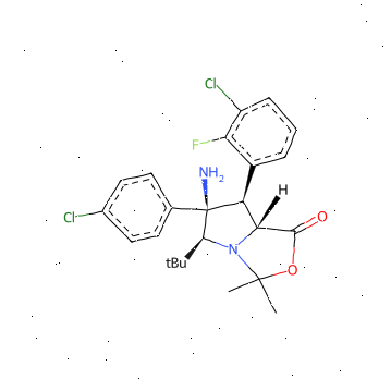 CC(C)(C)[C@@H]1N2[C@@H](C(=O)OC2(C)C)[C@H](c2cccc(Cl)c2F)[C@@]1(N)c1ccc(Cl)cc1